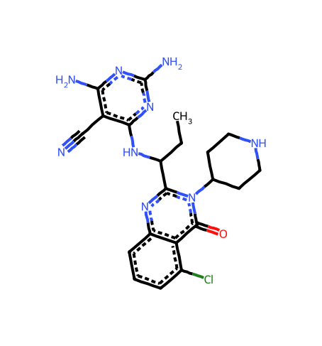 CCC(Nc1nc(N)nc(N)c1C#N)c1nc2cccc(Cl)c2c(=O)n1C1CCNCC1